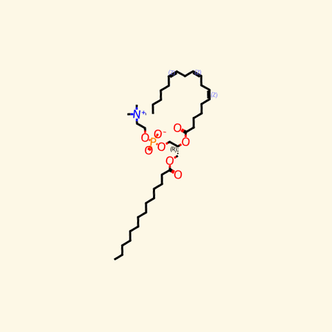 CCCCC/C=C\C/C=C\C/C=C\CCCCC(=O)O[C@H](COC(=O)CCCCCCCCCCCCC)COP(=O)([O-])OCC[N+](C)(C)C